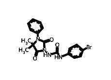 CC1(C)C(=O)N(NC(=O)Nc2ccc(Br)cc2)C(=O)N1c1ccccc1